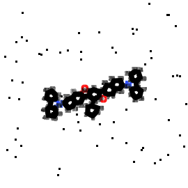 c1ccc(-c2c3oc4cc5cc(-n6c7ccccc7c7ccccc76)ccc5cc4c3cc3oc4cc5cc(-n6c7ccccc7c7ccccc76)ccc5cc4c23)cc1